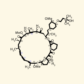 CO[C@H]1C[C@@H]2CC[C@@H](C)[C@@](O)(O2)C(=O)C(=O)N2CCCC[C@H]2C(=O)O[C@H]([C@@H](C)C[C@@H]2CC[C@@H](OCC[Si](C)(C)O)[C@H](OC)C2)CC(=O)[C@H](C)/C=C(\C)[C@@H](O)[C@@H](OC)C(=O)[C@H](C)C[C@H](C)/C=C/C=C/C=C/1C